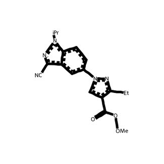 CCc1nn(-c2ccc3c(c2)c(C#N)nn3C(C)C)cc1C(=O)OOC